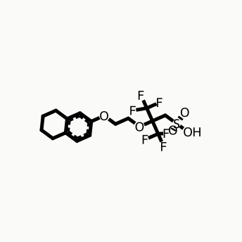 O=S(=O)(O)CC(OCCOc1ccc2c(c1)CCCC2)(C(F)(F)F)C(F)(F)F